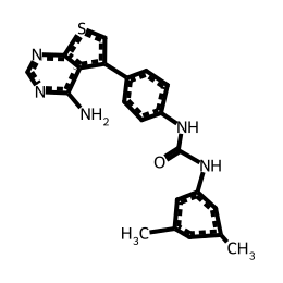 Cc1cc(C)cc(NC(=O)Nc2ccc(-c3csc4ncnc(N)c34)cc2)c1